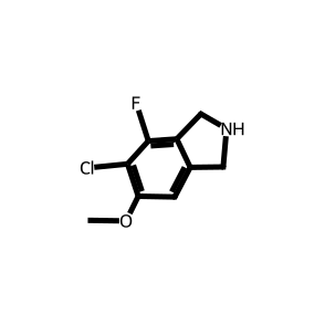 COc1cc2c(c(F)c1Cl)CNC2